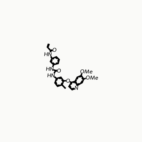 C=CC(=O)Nc1cccc(NC(=O)Nc2ccc(C)c(Oc3ccnc4cc(OC)c(OC)cc34)c2)c1